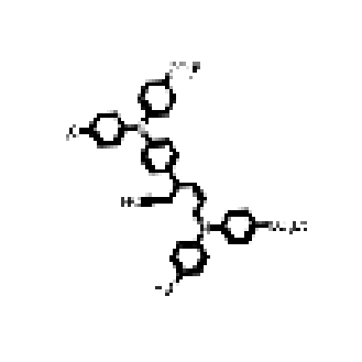 C#CCC(/C=C\CN(c1ccc(C)cc1)c1ccc(C(=O)OCC)cc1)c1ccc(N(C2=CC=C(C)CC2)C2=CCC(C(=O)OCC)CC2)cc1